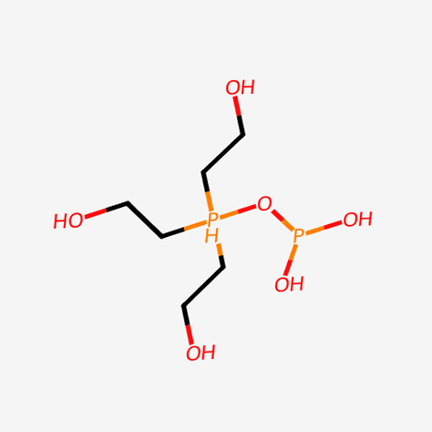 OCC[PH](CCO)(CCO)OP(O)O